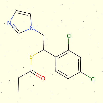 CCC(=O)SC(Cn1ccnc1)c1ccc(Cl)cc1Cl